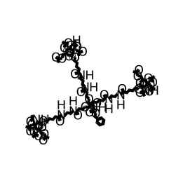 CC(=O)N[C@H]1C(OC(C)=O)[C@@H](OC(C)=O)C(COC(C)=O)O[C@H]1OCCCCC(=O)NCCCNC(=O)CCOCC(COCCC(=O)NCCCNC(=O)CCCCO[C@@H]1OC(COC(C)=O)[C@H](OC(C)=O)C(OC(C)=O)[C@@H]1NC(C)=O)(COCCC(=O)NCCCNC(=O)CCCCO[C@@H]1OC(COC(C)=O)[C@H](OC(C)=O)C(OC(C)=O)[C@@H]1NC(C)=O)NC(=O)OCc1ccccc1